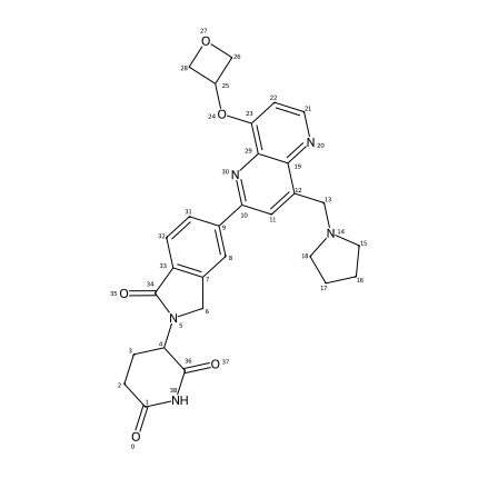 O=C1CCC(N2Cc3cc(-c4cc(CN5CCCC5)c5nccc(OC6COC6)c5n4)ccc3C2=O)C(=O)N1